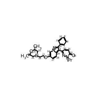 CC(C)n1nc(-c2c(-c3ccccc3)nn3cc(OCCN4C[C@@H](C)O[C@@H](C)C4)ccc23)ccc1=O